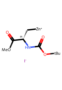 COC(=O)[C@H]([CH2][Zn+])NC(=O)OC(C)(C)C.[I-]